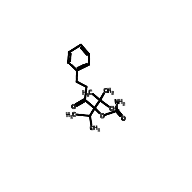 CC(C)C(OC(N)=O)(C(=O)CCc1ccccc1)C(C)(C)C